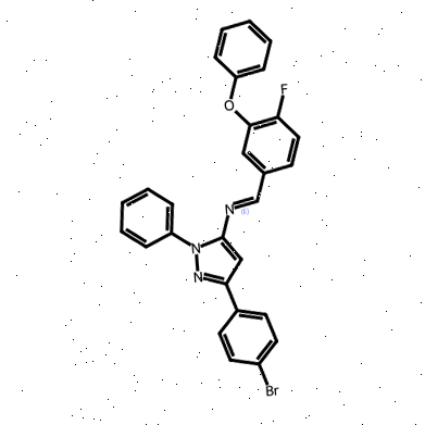 Fc1ccc(/C=N/c2cc(-c3ccc(Br)cc3)nn2-c2ccccc2)cc1Oc1ccccc1